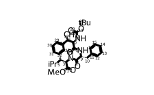 COC(=O)[C@@H](CC(C)C)NC(=O)[C@@H](Cc1ccccc1)NC(=O)[C@H](NC(=O)OC(C)(C)C)[C@H](C)c1ccccc1